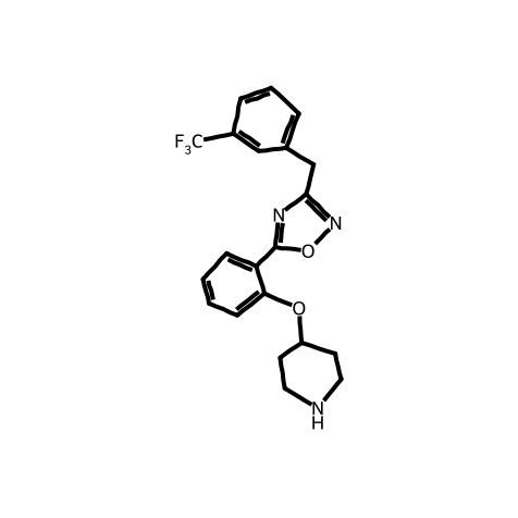 FC(F)(F)c1cccc(Cc2noc(-c3ccccc3OC3CCNCC3)n2)c1